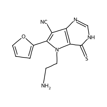 N#Cc1c(-c2ccco2)n(CCN)c2c(=S)[nH]cnc12